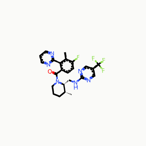 Cc1c(F)ccc(C(=O)N2CCC[C@@H](C)[C@H]2CNc2ncc(C(F)(F)F)cn2)c1-c1ncccn1